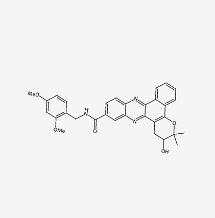 COc1ccc(CNC(=O)c2ccc3nc4c(nc3c2)c2c(c3ccccc34)OC(C)(C)C(O)C2)c(OC)c1